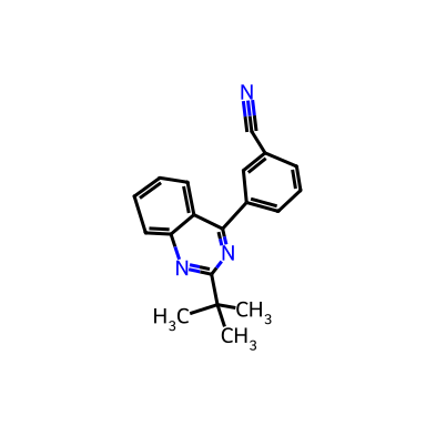 CC(C)(C)c1nc(-c2cccc(C#N)c2)c2ccccc2n1